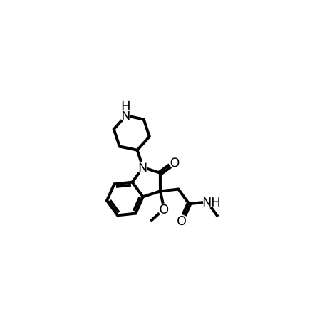 CNC(=O)CC1(OC)C(=O)N(C2CCNCC2)c2ccccc21